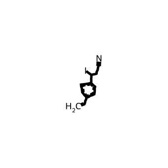 C=Cc1ccc(C(I)CC#N)cc1